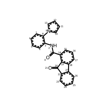 O=C(Nc1ccccc1-n1cccc1)c1cccc2c1C(=O)c1ccccc1-2